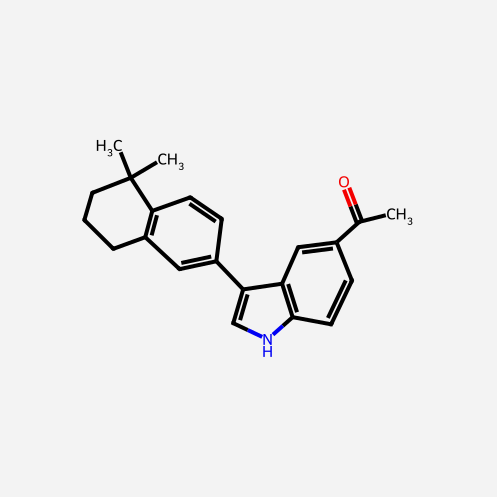 CC(=O)c1ccc2[nH]cc(-c3ccc4c(c3)CCCC4(C)C)c2c1